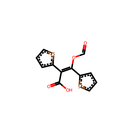 O=CO/C(=C(/C(=O)O)c1cccs1)c1cccs1